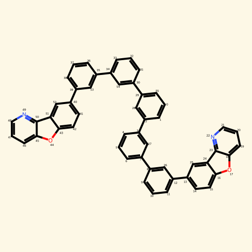 c1cc(-c2cccc(-c3cccc(-c4ccc5oc6cccnc6c5c4)c3)c2)cc(-c2cccc(-c3cccc(-c4ccc5oc6cccnc6c5c4)c3)c2)c1